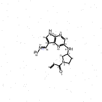 C=CC(=O)N1CCC(Nc2cnc3[nH]cc(/C=N/C(C)C)c3n2)C1